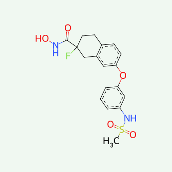 CS(=O)(=O)Nc1cccc(Oc2ccc3c(c2)CC(F)(C(=O)NO)CC3)c1